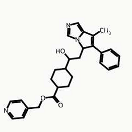 CC1=C(c2ccccc2)C(CC(O)C2CCC(C(=O)OCc3ccncc3)CC2)n2cncc21